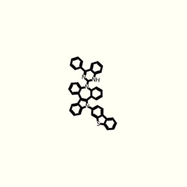 C1=CC2c3c(c4ccccc4n3-c3ccc4c(c3)sc3ccccc34)-c3ccccc3N(C3N=C(c4ccccc4)c4ccccc4N3)C2C=C1